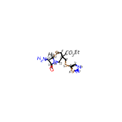 CCOC(=O)C1(CSc2cnns2)CS[C@@H]2C(N)C(=O)N2C1